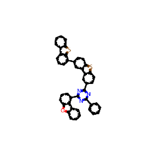 c1ccc(-c2nc(-c3ccc4sc5ccc(-c6cccc7c6sc6ccccc67)cc5c4c3)nc(-c3cccc4oc5ccccc5c34)n2)cc1